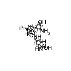 CC(C)Nc1ncc(-c2cc(N)cc(O)c2)n(CC(=O)NCc2ccc(C(=N)NO)cc2)c1=O